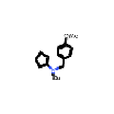 CCC(C)N(Cc1ccc(OC)cc1)C1CCCC1